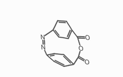 O=C1OC(=O)c2ccc(cc2)N=Nc2ccc1cc2